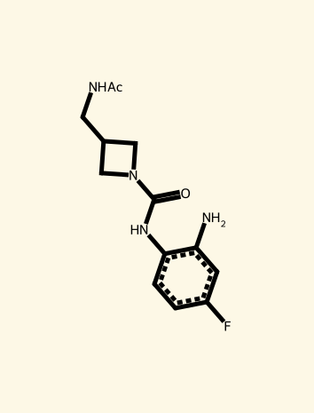 CC(=O)NCC1CN(C(=O)Nc2ccc(F)cc2N)C1